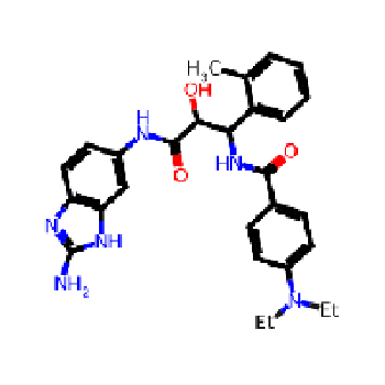 CCN(CC)c1ccc(C(=O)NC(c2ccccc2C)C(O)C(=O)Nc2ccc3nc(N)[nH]c3c2)cc1